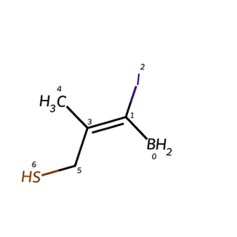 B/C(I)=C(/C)CS